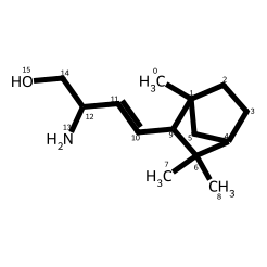 CC12CCC(C1)C(C)(C)C2C=CC(N)CO